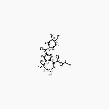 CCOC(=O)C1=CNCC(C)(C)c2cc(C(=O)c3ccc(F)c(F)c3)sc21